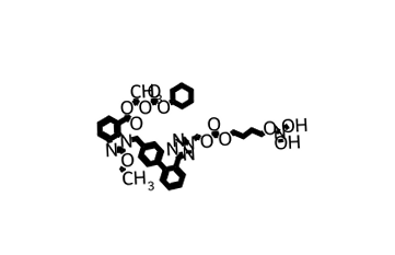 CCOc1nc2cccc(C(=O)OC(C)OC(=O)OC3CCCCC3)c2n1Cc1ccc(-c2ccccc2-c2nnn(COC(=O)OCCCCON(O)O)n2)cc1